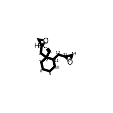 C=CC1(CC2CO2)CCCCC1CC1CO1